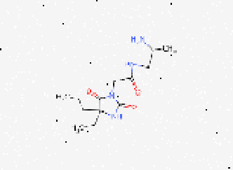 CCCC1(CC)NC(=O)N(CC(=O)NCC(C)N)C1=O